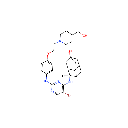 OCC1CCN(CCOc2ccc(Nc3ncc(Br)c(N[C@H]4C5CC6CC4C[C@](O)(C6)C5)n3)cc2)CC1